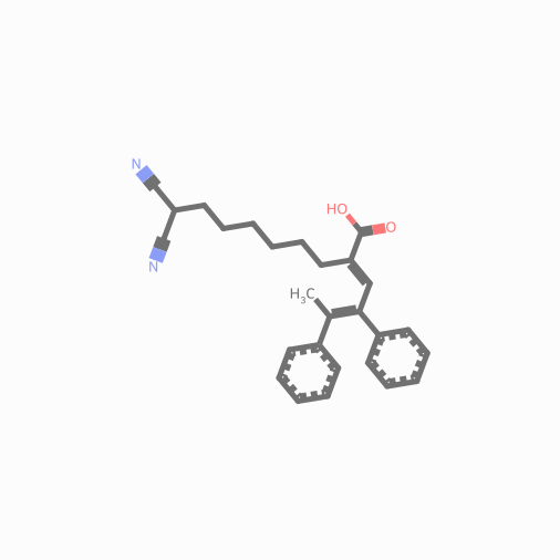 CC(=C(C=C(CCCCCCC(C#N)C#N)C(=O)O)c1ccccc1)c1ccccc1